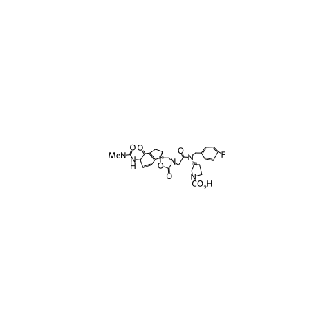 CNC(=O)NC1C=CC2=C(CC[C@]23CN(CC(=O)N(Cc2ccc(F)cc2)[C@@H]2CCN(C(=O)O)C2)C(=O)O3)C1=O